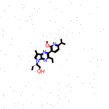 CCc1nc2c(nc1-c1ccc(C(C)C)nc1OC)c(C)cn2[C@@H](CC)CO